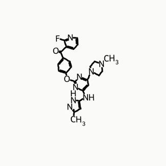 Cc1cc(Nc2cc(N3CCN(C)CC3)nc(Oc3ccc(C(=O)c4cccnc4F)cc3)n2)[nH]n1